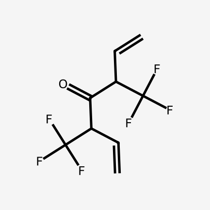 C=CC(C(=O)C(C=C)C(F)(F)F)C(F)(F)F